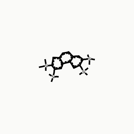 C[Si](C)(C)c1cc2ccc3cc([Si](C)(C)C)c([Si](C)(C)C)cc3c2cc1[Si](C)(C)C